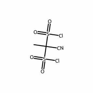 CC(C#N)(S(=O)(=O)Cl)S(=O)(=O)Cl